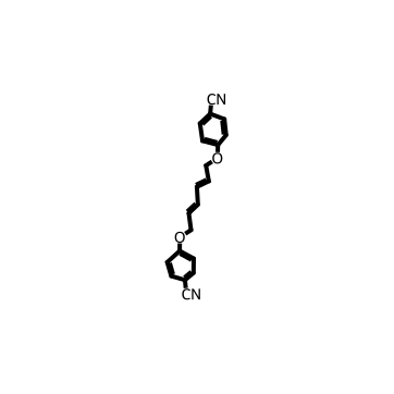 N#Cc1ccc(OCC=CC=CCOc2ccc(C#N)cc2)cc1